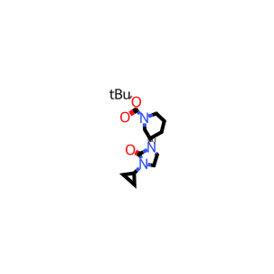 CC(C)(C)OC(=O)N1CCC[C@@H](N2CCN(C3CC3)C2=O)C1